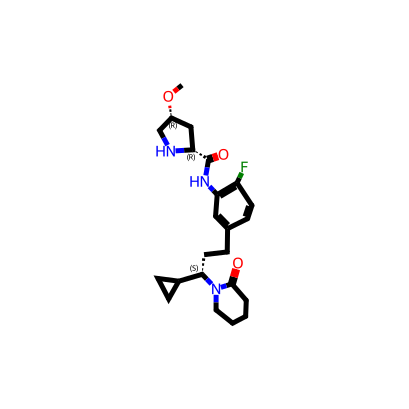 CO[C@H]1CN[C@@H](C(=O)Nc2cc(CC[C@@H](C3CC3)N3CCCCC3=O)ccc2F)C1